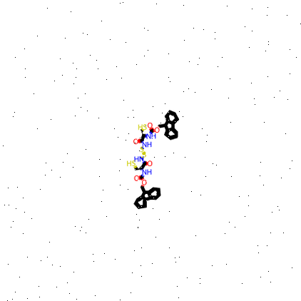 O=C(N[C@@H](CS)C(=O)NSSNC(=O)[C@H](CS)NC(=O)OCC1c2ccccc2-c2ccccc21)OCC1c2ccccc2-c2ccccc21